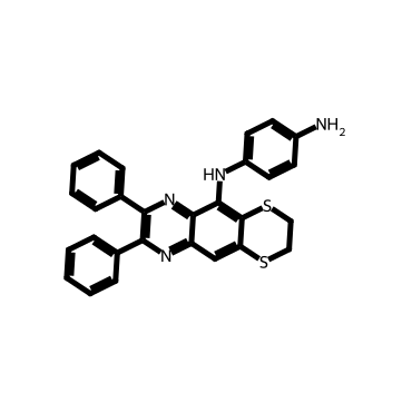 Nc1ccc(Nc2c3c(cc4nc(-c5ccccc5)c(-c5ccccc5)nc24)SCCS3)cc1